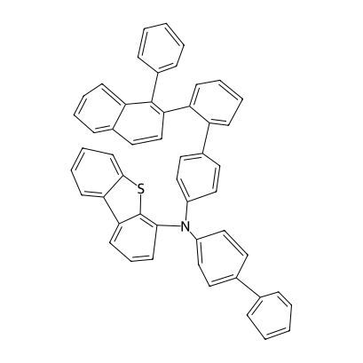 c1ccc(-c2ccc(N(c3ccc(-c4ccccc4-c4ccc5ccccc5c4-c4ccccc4)cc3)c3cccc4c3sc3ccccc34)cc2)cc1